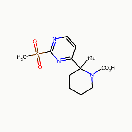 CC(C)(C)C1(c2ccnc(S(C)(=O)=O)n2)CCCCN1C(=O)O